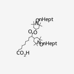 CCCCCCCON1C(C)(C)CC(OC(=O)C(CCCCCCCC(=O)O)C2CC(C)(C)N(OCCCCCCC)C(C)(C)C2)CC1(C)C